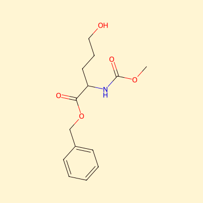 COC(=O)NC(CCCO)C(=O)OCc1ccccc1